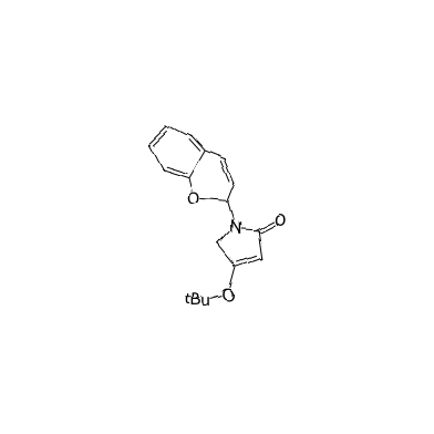 CC(C)(C)OC1=CC(=O)N(C2C=Cc3ccccc3O2)C1